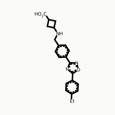 CCc1ccc(-c2nc(-c3ccc(CNC4CC(C(=O)O)C4)cc3)no2)cc1